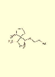 CC(=O)CCOC(=O)C1(C(C(F)(F)F)C(F)(F)F)CCCC1=O